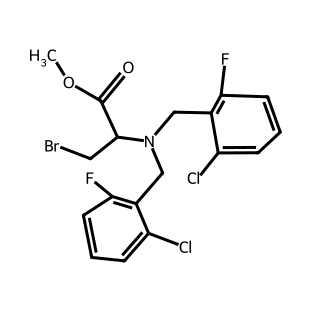 COC(=O)C(CBr)N(Cc1c(F)cccc1Cl)Cc1c(F)cccc1Cl